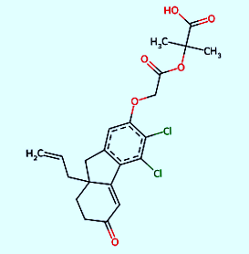 C=CCC12CCC(=O)C=C1c1c(cc(OCC(=O)OC(C)(C)C(=O)O)c(Cl)c1Cl)C2